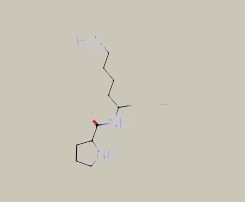 NCCCCC(NC(=O)C1CCCN1)C(=O)O